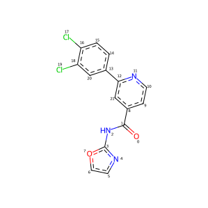 O=C(Nc1ncco1)c1ccnc(-c2ccc(Cl)c(Cl)c2)c1